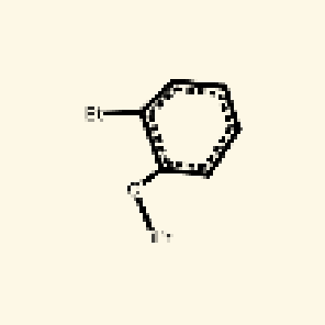 CCc1ccccc1OC(C)C